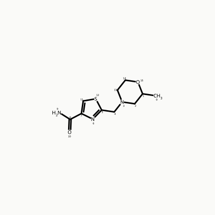 CC1CN(Cc2nc(C(N)=O)cs2)CCO1